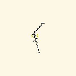 CCCCCCCCc1csc2c(C(C)CCCCCCC)csc12